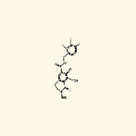 CCCCN1CCn2cc(C(=O)NCc3ccc(F)c(F)c3F)c(=O)c(O)c2C1=O